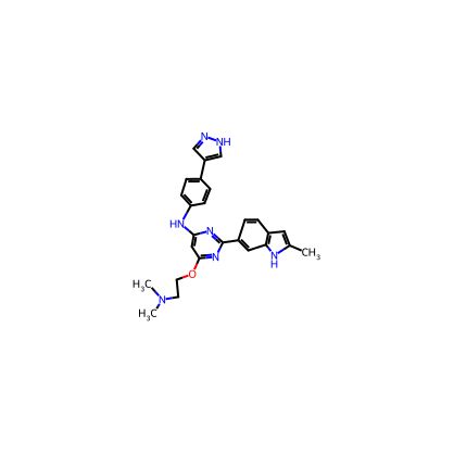 Cc1cc2ccc(-c3nc(Nc4ccc(-c5cn[nH]c5)cc4)cc(OCCN(C)C)n3)cc2[nH]1